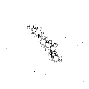 CC1CCN(c2ccc3cc(-c4nc5ccccc5s4)c(=O)oc3c2)CC1